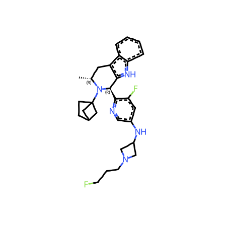 C[C@@H]1Cc2c([nH]c3ccccc23)[C@@H](c2ncc(NC3CN(CCCF)C3)cc2F)N1C12CCC(C1)C2